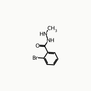 CNNC(=O)c1ccccc1Br